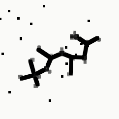 CC(O)OC(C)OC(C)O[Si](C)(C)C